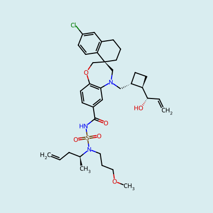 C=CC[C@H](C)N(CCCOC)S(=O)(=O)NC(=O)c1ccc2c(c1)N(C[C@@H]1CC[C@H]1[C@@H](O)C=C)C[C@@]1(CCCc3cc(Cl)ccc31)CO2